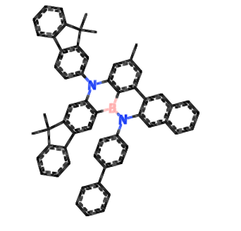 Cc1cc2c3c(c1)N(c1ccc4c(c1)C(C)(C)c1ccccc1-4)c1cc4c(cc1B3N(c1ccc(-c3ccccc3)cc1)c1cc3ccccc3cc1-2)-c1ccccc1C4(C)C